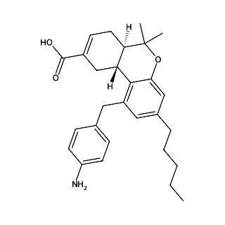 CCCCCc1cc(Cc2ccc(N)cc2)c2c(c1)OC(C)(C)[C@@H]1CC=C(C(=O)O)C[C@@H]21